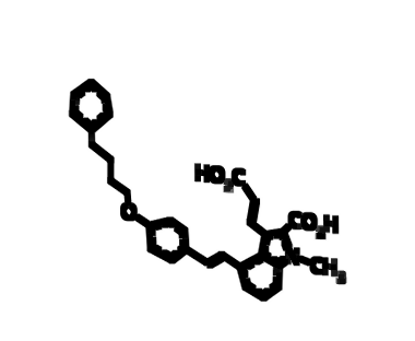 Cn1c(C(=O)O)c(C=CC(=O)O)c2c(C=Cc3ccc(OCCCCc4ccccc4)cc3)cccc21